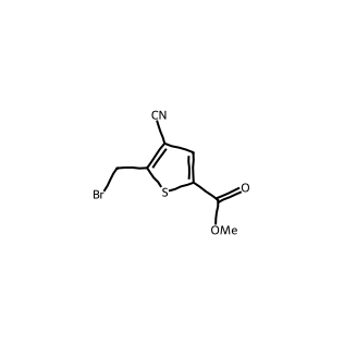 COC(=O)c1cc(C#N)c(CBr)s1